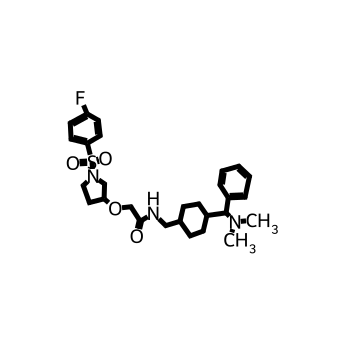 CN(C)C(c1ccccc1)C1CCC(CNC(=O)COC2CCN(S(=O)(=O)c3ccc(F)cc3)C2)CC1